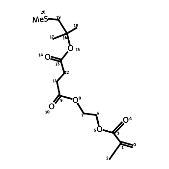 C=C(C)C(=O)OCCOC(=O)CCC(=O)OC(C)(C)CSC